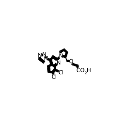 O=C(O)CCOC[C@@H]1CCCN1c1cc(-n2ccnn2)c2ccc(Cl)c(Cl)c2n1